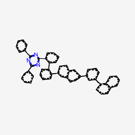 c1ccc(-c2nc(-c3ccccc3)nc(-c3ccccc3-c3ccccc3-c3ccc4cc(-c5cccc(-c6cccc7ccccc67)c5)ccc4c3)n2)cc1